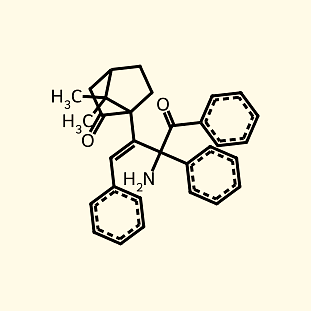 CC1(C)C2CCC1(C(=Cc1ccccc1)C(N)(C(=O)c1ccccc1)c1ccccc1)C(=O)C2